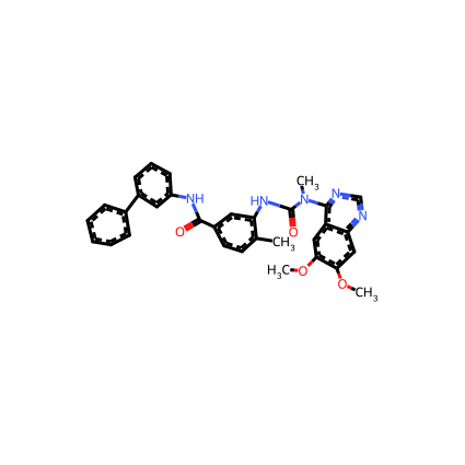 COc1cc2ncnc(N(C)C(=O)Nc3cc(C(=O)Nc4cccc(-c5ccccc5)c4)ccc3C)c2cc1OC